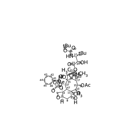 COC(=O)O[C@@]12CO[C@@H]1CC(O)[C@@]1(C)C(=O)[C@H](OC(C)=O)C3=C(C)[C@](C)(OC(=O)[C@H](O)[C@@H](NC(=O)OC(C)(C)C)C(C)(C)C)C[C@@](O)([C@@H](OC(=O)c4ccccc4)C12)C3(C)C